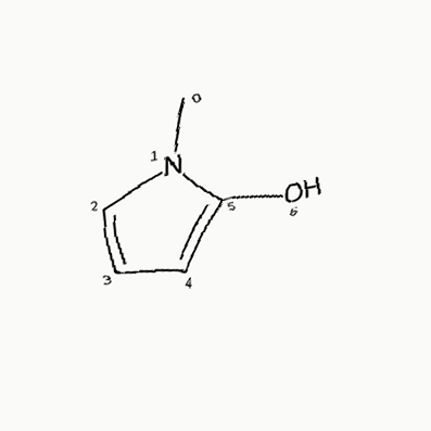 Cn1cccc1O